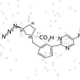 C[C@@H]1C[C@](Cc2cccc(-c3ncc(F)cn3)c2)(C(=O)O)C[C@H]1N=[N+]=[N-]